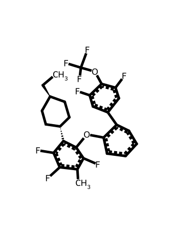 CC[C@H]1CC[C@H](c2c(F)c(F)c(C)c(F)c2Oc2ccccc2-c2cc(F)c(OC(F)(F)F)c(F)c2)CC1